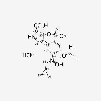 CS(=O)(=O)c1cc(OC(F)F)c(N(O)CC2CC2)cc1C1CN[C@@H](C(=O)O)C1.Cl